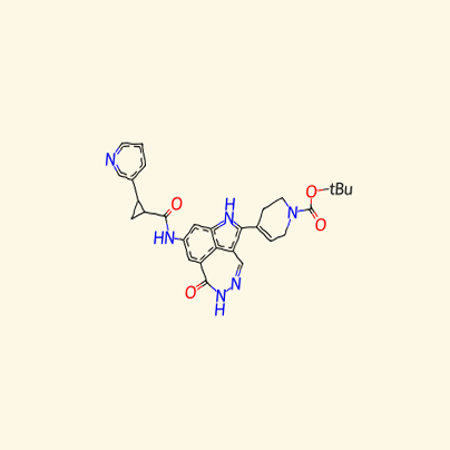 CC(C)(C)OC(=O)N1CC=C(c2[nH]c3cc(NC(=O)C4CC4c4cccnc4)cc4c3c2C=NNC4=O)CC1